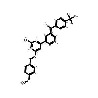 COc1ccc(COc2cc(-c3cncc(C(O)c4ccc(C(F)(F)F)cc4)c3)nc(C)n2)cc1